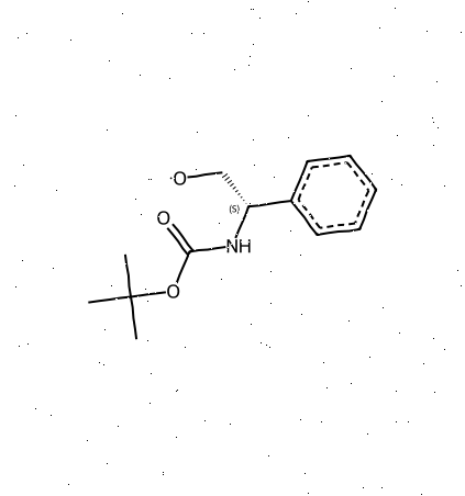 CC(C)(C)OC(=O)N[C@H](C[O])c1ccccc1